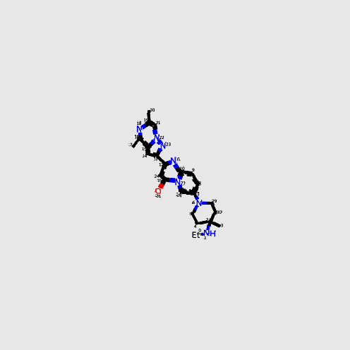 CCNC1(C)CCN(c2ccc3nc(-c4cc5c(C)nc(C)cn5n4)cc(=O)n3c2)CC1